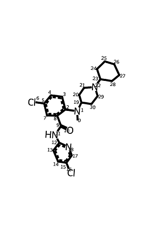 CN(c1ccc(Cl)cc1C(=O)Nc1ccc(Cl)cn1)C1CCN(C2CCCCC2)CC1